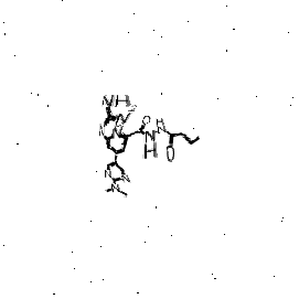 CCCC(=O)NNC(=O)c1cc(-c2cnc(N(C)C)nc2)cc2nc(N)nn12